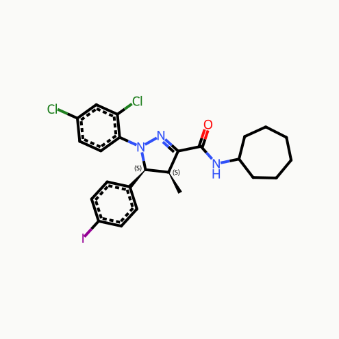 C[C@@H]1C(C(=O)NC2CCCCCC2)=NN(c2ccc(Cl)cc2Cl)[C@@H]1c1ccc(I)cc1